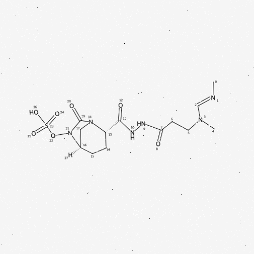 CN=CN(C)CCC(=O)NNC(=O)[C@@H]1CC[C@@H]2CN1C(=O)N2OS(=O)(=O)O